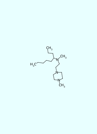 CCCCCC(CCC)N(C)CCN1CCN(C)CC1